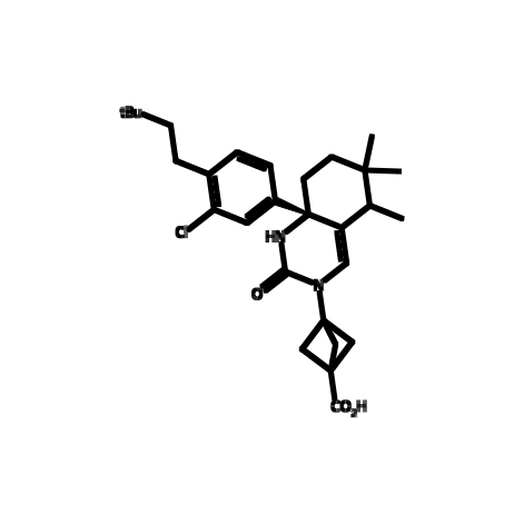 CC1C2=CN(C34CC(C(=O)O)(C3)C4)C(=O)N[C@]2(c2ccc(CCC(C)(C)C)c(Cl)c2)CCC1(C)C